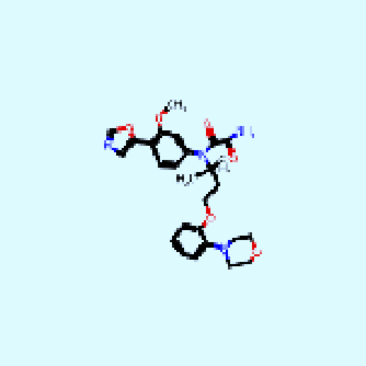 COc1cc(N(C(=O)C(N)=O)C(C)(C)CCOc2ccccc2N2CCOCC2)ccc1-c1cnco1